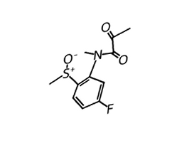 CC(=O)C(=O)N(C)c1cc(F)ccc1[S+](C)[O-]